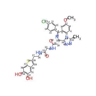 COc1ccc2c(c1)C(c1ccc(Cl)cc1)=N[C@@H](CC(=O)NCC(=O)NCCc1cc3cc(O)c(O)cc3s1)c1nnc(C)n1-2